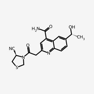 C[C@@H](O)c1ccc2nc(CC(=O)N3CSC[C@H]3C#N)cc(C(N)=O)c2c1